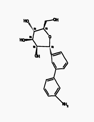 Nc1cccc(-c2cccc([C@H]3O[C@H](CO)[C@@H](O)[C@H](O)[C@@H]3O)c2)c1